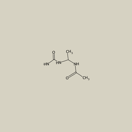 CC(=O)NC(C)NC([NH])=O